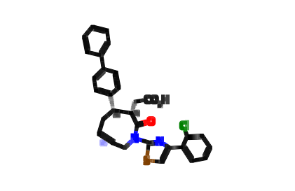 O=C(O)C[C@@H]1C(=O)N(c2nc(-c3ccccc3Cl)cs2)C/C=C\C[C@@H]1c1ccc(-c2ccccc2)cc1